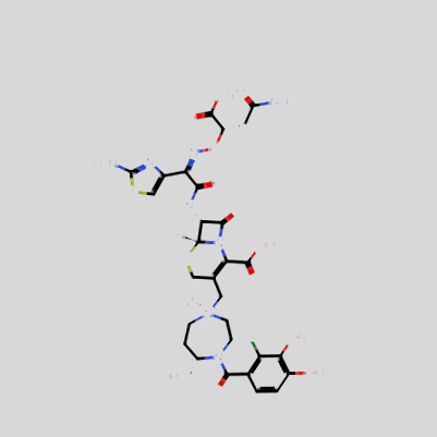 C[C@@H]1CC[N@@+](C)(CC2=C(C(=O)O)N3C(=O)[C@@H](NC(=O)/C(=N\O[C@@H](CC(N)=O)C(=O)O)c4csc(N)n4)[C@H]3SC2)CCN1C(=O)c1ccc(O)c(O)c1Cl